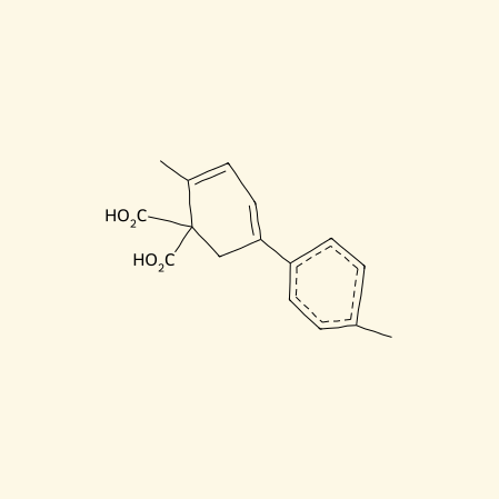 CC1=CC=C(c2ccc(C)cc2)CC1(C(=O)O)C(=O)O